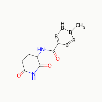 CB1B=BC(C(=O)NC2CCC(=O)NC2=O)=BB1